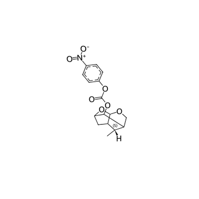 C[C@@H]1C2CC3OC2OCC1C3OC(=O)Oc1ccc([N+](=O)[O-])cc1